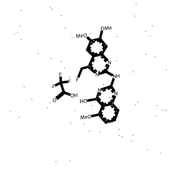 COc1cc2nc(Nc3nc(O)c4c(OC)cccc4n3)nc(CF)c2cc1OC.O=C(O)C(F)(F)F